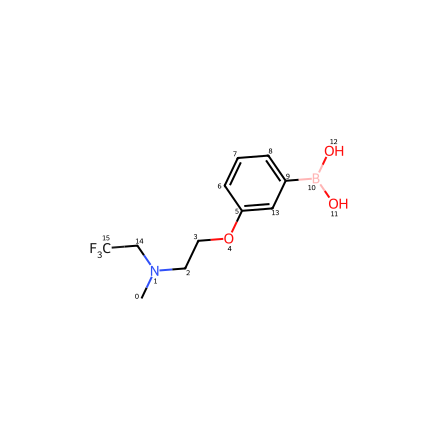 CN(CCOc1cccc(B(O)O)c1)CC(F)(F)F